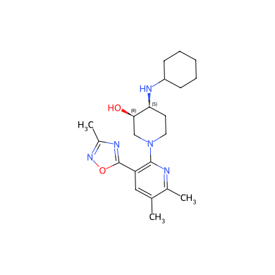 Cc1noc(-c2cc(C)c(C)nc2N2CC[C@H](NC3CCCCC3)[C@H](O)C2)n1